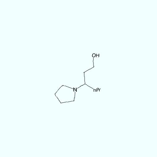 CCCC(CCO)N1CCCC1